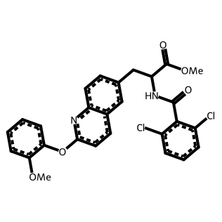 COC(=O)C(Cc1ccc2nc(Oc3ccccc3OC)ccc2c1)NC(=O)c1c(Cl)cccc1Cl